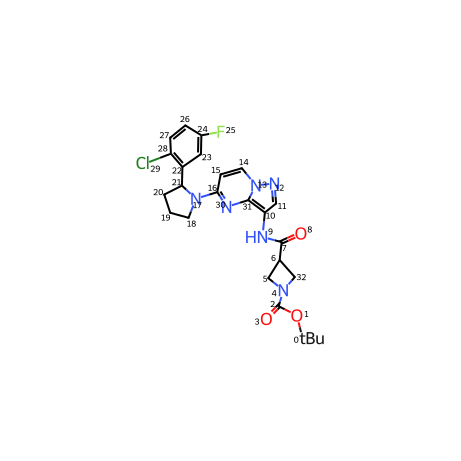 CC(C)(C)OC(=O)N1CC(C(=O)Nc2cnn3ccc(N4CCCC4c4cc(F)ccc4Cl)nc23)C1